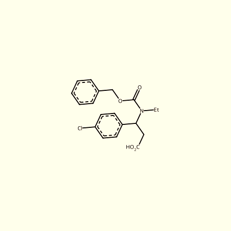 CCN(C(=O)OCc1ccccc1)C(CC(=O)O)c1ccc(Cl)cc1